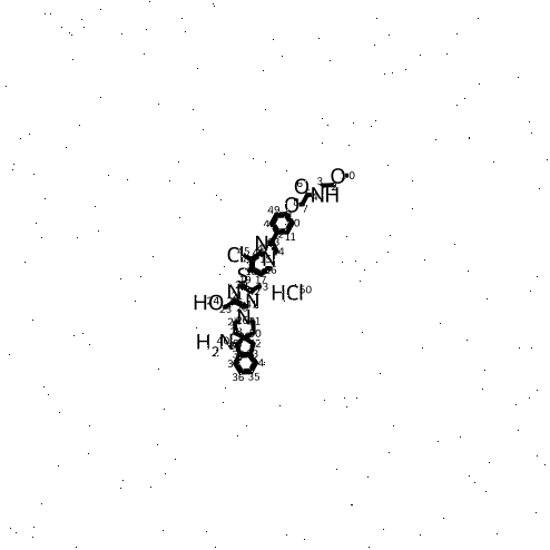 COCCNC(=O)COc1ccc(-c2cn3ccc(Sc4nc(CO)c(N5CCC6(CC5)Cc5ccccc5[C@H]6N)nc4C)c(Cl)c3n2)cc1.Cl